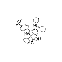 C1CCC(NC2CCCCC2)CC1.O=C(O)C(NCc1ccc(C(F)(F)F)cc1)(c1ccccc1)c1ccccc1